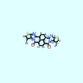 Cc1csc2nc3c4ccc5c6c(ccc(c(=O)n3c12)c46)c(=O)n1c5nc2scc(C)c21